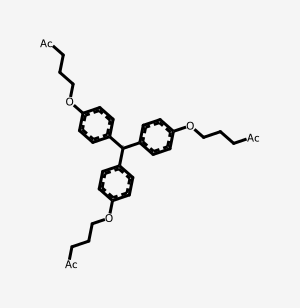 CC(=O)CCCOc1ccc([C](c2ccc(OCCCC(C)=O)cc2)c2ccc(OCCCC(C)=O)cc2)cc1